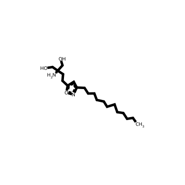 CCCCCCCCCCCCc1cc(CCC(N)(CO)CO)on1